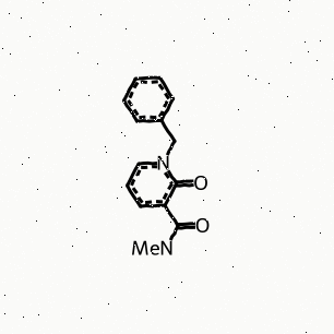 CNC(=O)c1cccn(Cc2ccccc2)c1=O